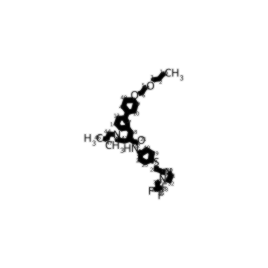 CCCCOCCOc1ccc(-c2ccc3c(c2)C=C(C(=O)Nc2ccc(SCc4nccn4CC(F)(F)F)cc2)CCN3CC(C)C)cc1